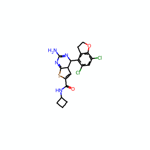 NC1=NC(c2c(Cl)cc(Cl)c3c2CCO3)C2C=C(C(=O)NC3CCC3)SC2=N1